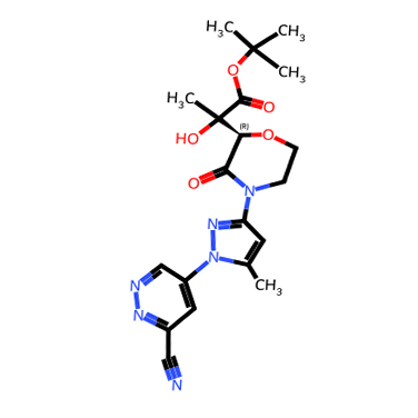 Cc1cc(N2CCO[C@H](C(C)(O)C(=O)OC(C)(C)C)C2=O)nn1-c1cnnc(C#N)c1